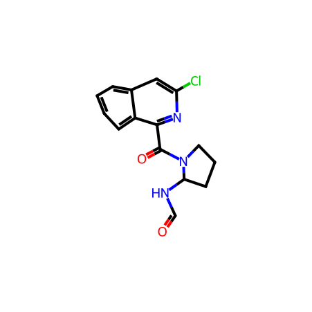 O=CNC1CCCN1C(=O)c1nc(Cl)cc2ccccc12